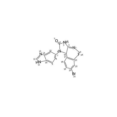 C/N=C1/NC(=O)N(c2ccc3[nH]cnc3c2)C1c1ccc(Br)cc1F